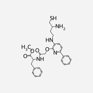 COC(=O)C(Cc1ccccc1)NC(=O)COc1nc(-c2ccccc2)ccc1NCCC(N)CS